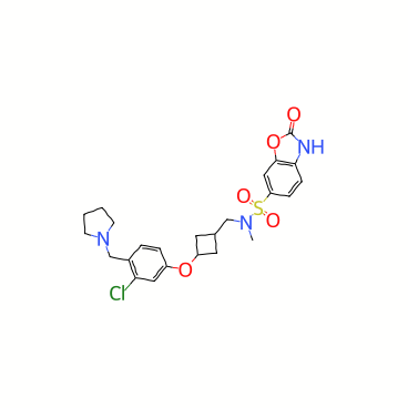 CN(CC1CC(Oc2ccc(CN3CCCC3)c(Cl)c2)C1)S(=O)(=O)c1ccc2[nH]c(=O)oc2c1